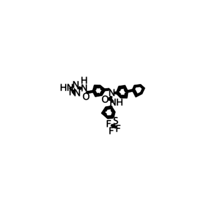 O=C(Nc1nn[nH]n1)c1ccc(CN(C(=O)Nc2cccc(SC(F)(F)F)c2)c2ccc(C3=CCCCC3)cc2)cc1